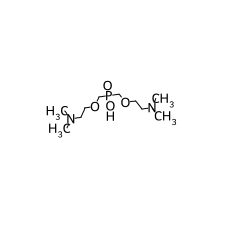 CN(C)CCOCP(=O)(O)COCCN(C)C